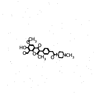 COc1cc2c(=O)c(-c3ccc(CC(=O)N4CCN(C)CC4)cc3)c(C)oc2c(C=O)c1O